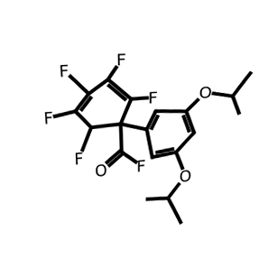 CC(C)Oc1cc(OC(C)C)cc(C2(C(=O)F)C(F)=C(F)C(F)=C(F)C2F)c1